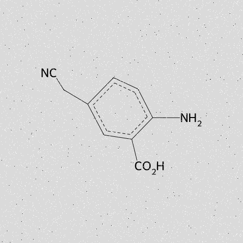 N#CCc1ccc(N)c(C(=O)O)c1